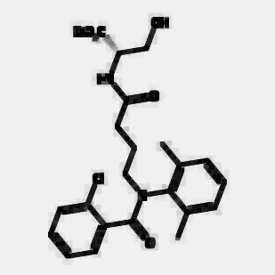 CCOC(=O)[C@H](CO)NC(=O)CCCN(C(=O)c1ccccc1Cl)c1c(C)cccc1C